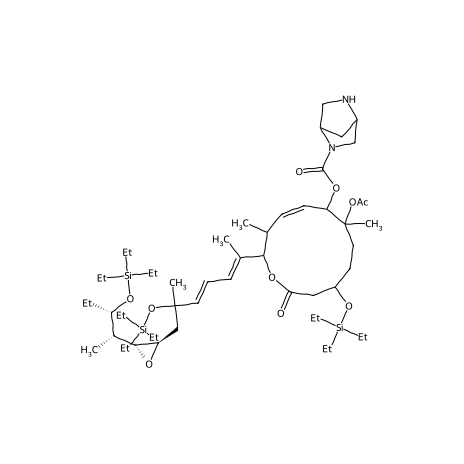 CC[C@H](O[Si](CC)(CC)CC)[C@@H](C)[C@H]1O[C@@H]1CC(C)(/C=C/C=C(\C)C1OC(=O)CC(O[Si](CC)(CC)CC)CCC(C)(OC(C)=O)C(OC(=O)N2CC3CC2CN3)C=CC1C)O[Si](CC)(CC)CC